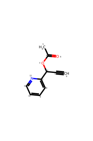 C#CC(OC(C)=O)c1ccccn1